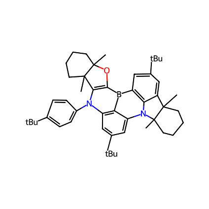 CC(C)(C)c1ccc(N2C3=C(OC4(C)CCCCC34C)B3c4cc(C(C)(C)C)cc5c4N(c4cc(C(C)(C)C)cc2c43)C2(C)CCCCC52C)cc1